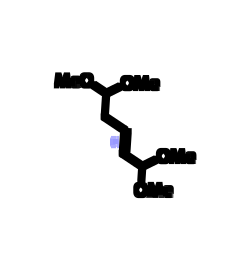 COC(/C=C/CC(OC)OC)OC